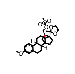 COc1ccc2c(c1)CC[C@@H]1[C@@H]2CC[C@@]2(C)C13CC[C@]2(C1(C)OCCO1)[C@H](COS(C)(=O)=O)C3